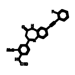 CSc1cc(C2=Nc3ccc(C#Cc4ccccc4F)cc3NC(=O)C2)ccc1NC=O